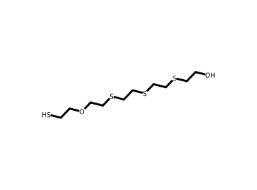 OCCSCCSCCSCCOCCS